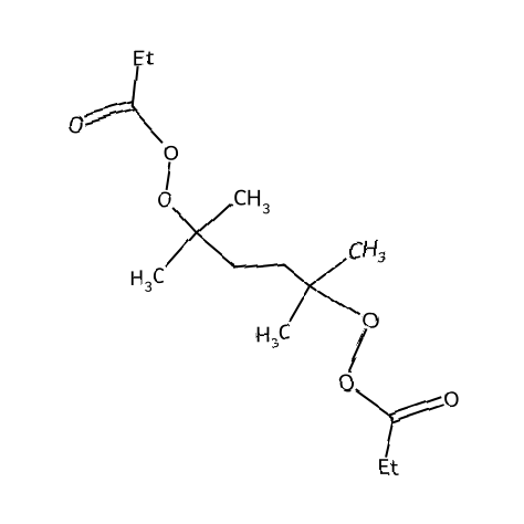 CCC(=O)OOC(C)(C)CCC(C)(C)OOC(=O)CC